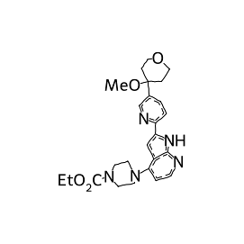 CCOC(=O)N1CCN(c2ccnc3[nH]c(-c4ccc(C5(OC)CCOCC5)cn4)cc23)CC1